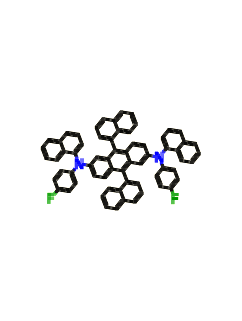 Fc1ccc(N(c2ccc3c(-c4cccc5ccccc45)c4cc(N(c5ccc(F)cc5)c5cccc6ccccc56)ccc4c(-c4cccc5ccccc45)c3c2)c2cccc3ccccc23)cc1